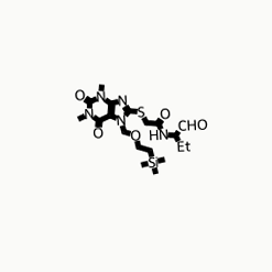 CCC(C=O)NC(=O)CSc1nc2c(c(=O)n(C)c(=O)n2C)n1COCC[Si](C)(C)C